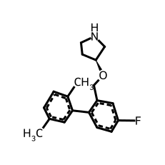 Cc1ccc(C)c(-c2ccc(F)cc2CO[C@H]2CCNC2)c1